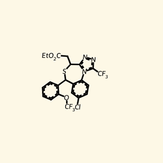 CCOC(=O)CC1SC(c2ccccc2OC(F)(F)F)c2cc(Cl)ccc2-n2c1nnc2C(F)(F)F